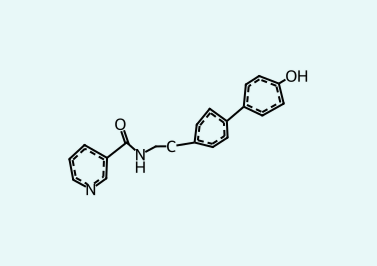 O=C(NCCc1ccc(-c2ccc(O)cc2)cc1)c1cccnc1